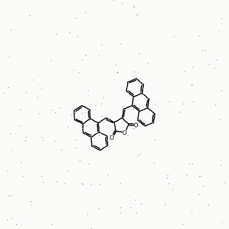 O=C1OC(=O)C(=Cc2c3ccccc3cc3ccccc23)C1=Cc1c2ccccc2cc2ccccc12